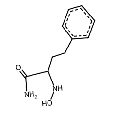 NC(=O)C(CCc1ccccc1)NO